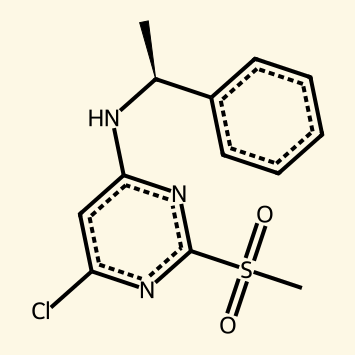 C[C@H](Nc1cc(Cl)nc(S(C)(=O)=O)n1)c1ccccc1